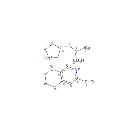 CC(C)(C)N(C[C@H]1CCNC1)C(=O)O.O=Cc1cc2c(cn1)OCCC2